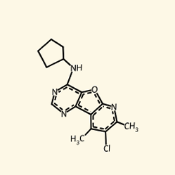 Cc1nc2oc3c(NC4CCCC4)ncnc3c2c(C)c1Cl